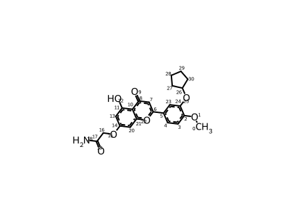 COc1ccc(-c2cc(=O)c3c(O)cc(OCC(N)=O)cc3o2)cc1OC1CCCC1